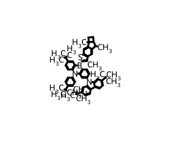 Cc1c(B2c3cc(C(C)(C)C)ccc3N(c3ccc(C(C)(C)C)cc3)c3cc(-n4c5cc(C(C)(C)C)ccc5c5ccc(C(C)(C)C)cc54)ccc32)sc2cc3c(cc12)C(C)C1CCC31C